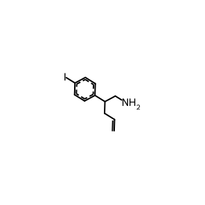 C=CCC(CN)c1ccc(I)cc1